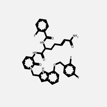 NC(=O)/C=C/CCC(NC(=O)c1ccccc1F)C(=O)Nc1cccn(Cc2cc3cccc(OCc4ccc(F)cc4F)c3[nH]2)c1=O